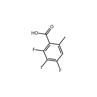 Cc1cc(F)c(I)c(F)c1C(=O)O